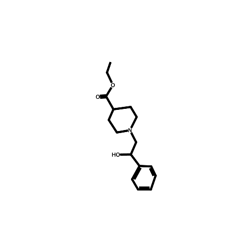 CCOC(=O)C1CCN(CC(O)c2ccccc2)CC1